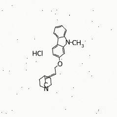 Cl.Cn1c2ccccc2c2ccc(OCC=C3CN4CCC3CC4)cc21